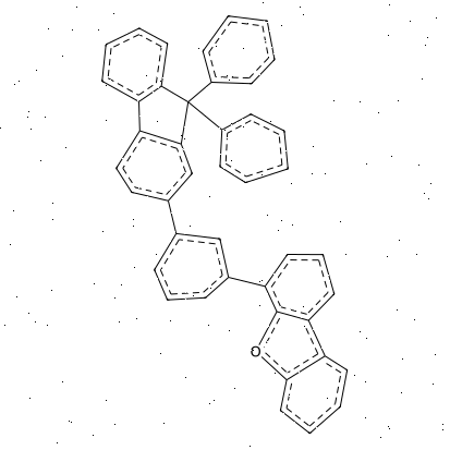 c1ccc(C2(c3ccccc3)c3ccccc3-c3ccc(-c4cccc(-c5cccc6c5oc5ccccc56)c4)cc32)cc1